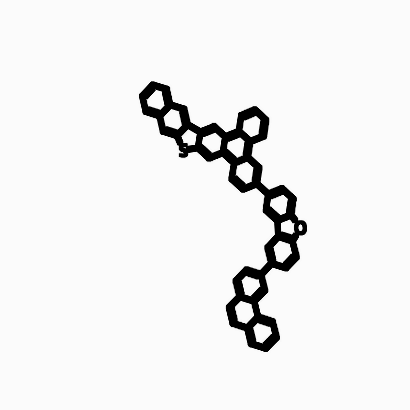 c1ccc2cc3c(cc2c1)sc1cc2c4ccc(-c5ccc6oc7ccc(-c8ccc9ccc%10ccccc%10c9c8)cc7c6c5)cc4c4ccccc4c2cc13